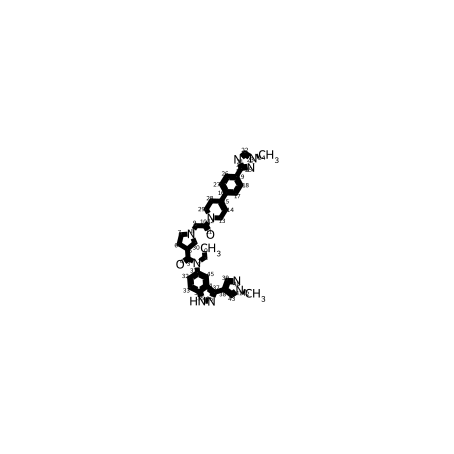 CCN(C(=O)C1CCN(CC(=O)N2CC=C(c3ccc(-c4ncn(C)n4)cc3)CC2)C1)c1ccc2[nH]nc(-c3cnn(C)c3)c2c1